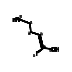 CCCCC/C=C(/O)I